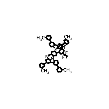 Cc1cccc(-c2ccc3c(c2)c2cc(-c4cccc(C)c4)ccc2n3-c2cc(-c3cc(C(F)(F)F)cc(C(F)(F)F)c3)c(-n3c4ccc(-c5cccc(C)c5)cc4c4cc(-c5cccc(C)c5)ccc43)cc2C#N)c1